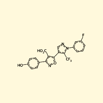 O=C(O)c1c(-c2ccc(O)cc2)noc1-c1cnn(-c2cccc(F)c2)c1C(F)(F)F